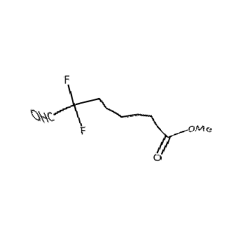 COC(=O)CCCC(F)(F)C=O